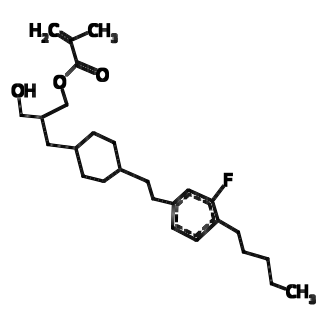 C=C(C)C(=O)OCC(CO)CC1CCC(CCc2ccc(CCCCC)c(F)c2)CC1